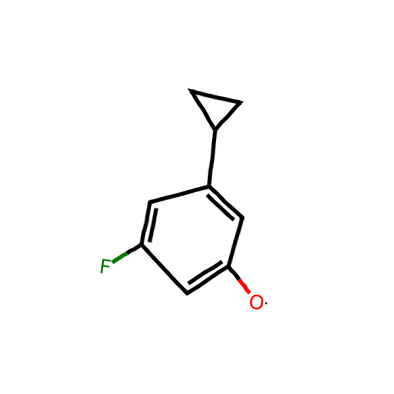 [O]c1cc(F)cc(C2CC2)c1